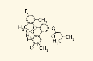 COc1c(-c2cc(OC(=O)CC(C)C)ccc2Oc2c(C)cc(F)cc2C)cn(C)c(=O)c1I